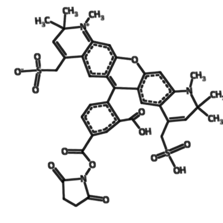 CN1c2cc3c(cc2C(CS(=O)(=O)O)=CC1(C)C)C(c1ccc(C(=O)ON2C(=O)CCC2=O)cc1C(=O)O)=c1cc2c(cc1O3)=[N+](C)C(C)(C)C=C2CS(=O)(=O)[O-]